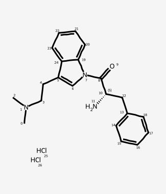 CN(C)CCc1cn(C(=O)[C@@H](N)Cc2ccccc2)c2ccccc12.Cl.Cl